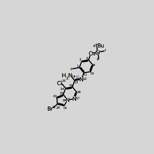 Cc1cc(O[Si](C)(C)C(C)(C)C)ccc1/N=C(\N)c1cnn2cc(Br)cc2c1Cl